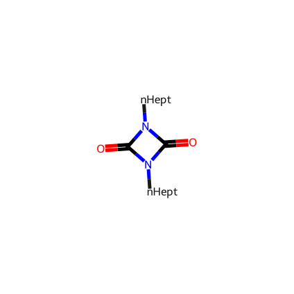 CCCCCCCN1C(=O)N(CCCCCCC)C1=O